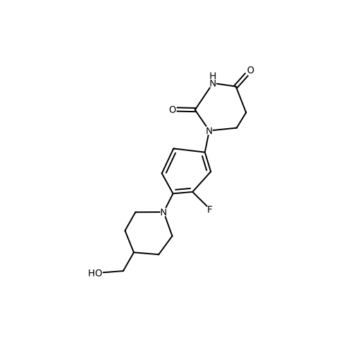 O=C1CCN(c2ccc(N3CCC(CO)CC3)c(F)c2)C(=O)N1